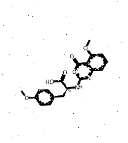 COc1ccc(C[C@H](Nc2nc3cccc(OC)c3c(=O)o2)C(=O)O)cc1